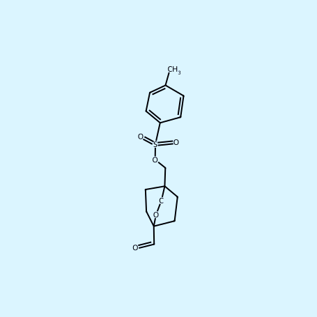 Cc1ccc(S(=O)(=O)OCC23CCC(C=O)(CC2)OC3)cc1